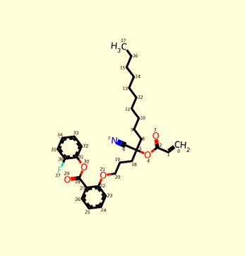 C=CC(=O)OC(C#N)(CCCCCCCCCC)CCCOc1ccccc1C(=O)Oc1cc[c]cc1F